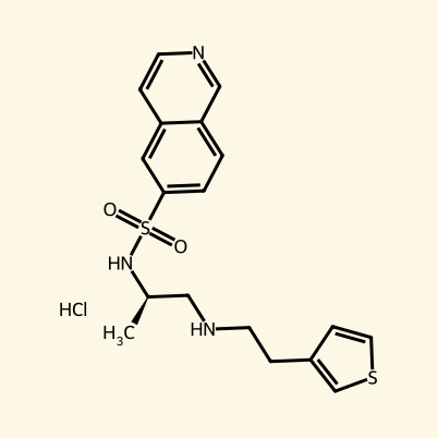 C[C@H](CNCCc1ccsc1)NS(=O)(=O)c1ccc2cnccc2c1.Cl